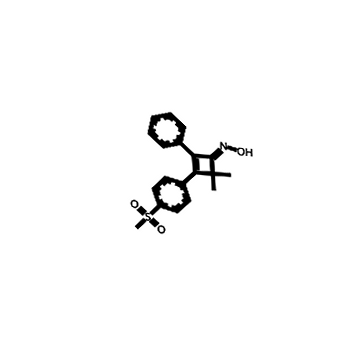 CC1(C)C(c2ccc(S(C)(=O)=O)cc2)=C(c2ccccc2)/C1=N/O